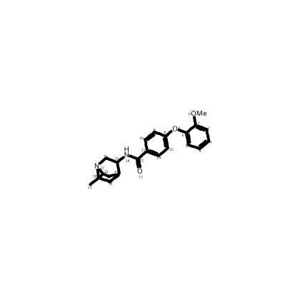 COc1ccccc1Oc1ccc(C(=O)NC2CN3CCC2CC3C)cc1